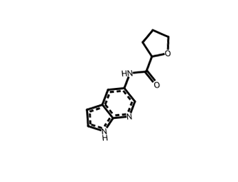 O=C(Nc1cnc2[nH]ccc2c1)C1CCCO1